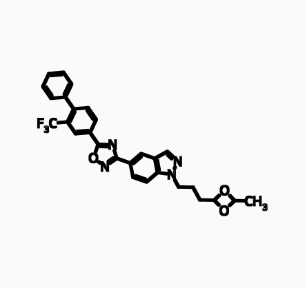 CC1OC(CCCn2ncc3cc(-c4noc(-c5ccc(-c6ccccc6)c(C(F)(F)F)c5)n4)ccc32)O1